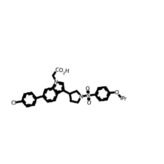 CC(C)Oc1ccc(S(=O)(=O)N2CCC(c3cn(CC(=O)O)c4cc(-c5ccc(Cl)cc5)ccc34)C2)cc1